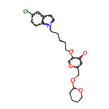 O=c1cc(COC2CCCCO2)occ1OCCCCCn1ccc2cc(Cl)ccc21